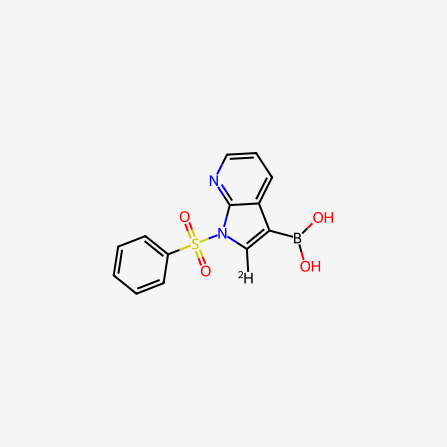 [2H]c1c(B(O)O)c2cccnc2n1S(=O)(=O)c1ccccc1